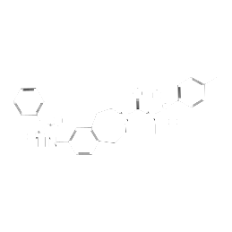 Cc1ccc(S(=O)(=O)NC(=O)N2CCc3ccc(NS(=O)(=O)c4ccccc4)cc3CC2)cc1